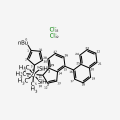 CCCCC1=C[CH]([Zr]([CH3])([CH3])([CH3])([CH3])([SiH3])([SiH3])[CH]2C=Cc3c(-c4cccc5ccccc45)cccc32)C=C1.[Cl-].[Cl-]